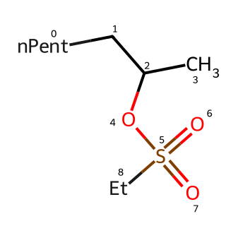 CCCCCCC(C)OS(=O)(=O)CC